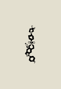 COC[C@]12Cc3cnn(-c4ccc(F)cc4)c3C=C1CCN(S(=O)(=O)c1ccc(N3CCC(F)(F)C3)cc1)C2